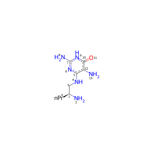 CCC[C@H](N)CNc1nc(N)[nH]c(=O)c1N